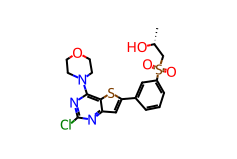 C[C@@H](O)CS(=O)(=O)c1cccc(-c2cc3nc(Cl)nc(N4CCOCC4)c3s2)c1